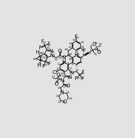 CC(C)(C#Cc1ccc(-c2ccc(Cl)c3c(N(C(=O)CN4CCOCC4)S(C)(=O)=O)nn(CC(F)(F)F)c23)c([C@H](Cc2cc(F)cc(F)c2)NC(=O)Cn2nc(C(F)(F)F)c3c2C(F)(F)[C@@H]2C[C@H]32)n1)S(C)(=O)=O